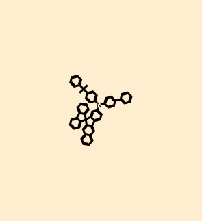 CC(C)(c1ccccc1)c1ccc(N(c2ccc(-c3ccccc3)cc2)c2ccc3c(c2)C2(c4ccccc4-c4ccccc42)c2cc4ccccc4cc2-3)cc1